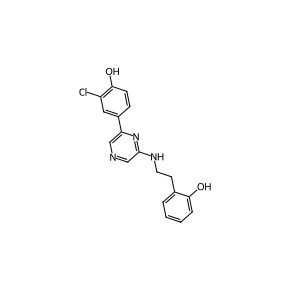 Oc1ccc(-c2cncc(NCCc3ccccc3O)n2)cc1Cl